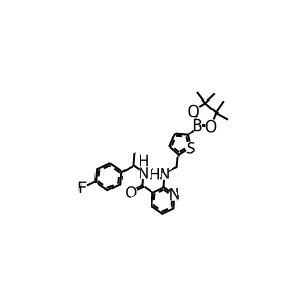 CC(NC(=O)c1cccnc1NCc1ccc(B2OC(C)(C)C(C)(C)O2)s1)c1ccc(F)cc1